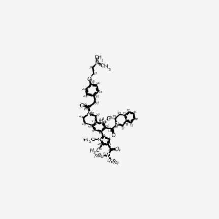 CCCCN(CCCC)C(=O)c1cc(-c2cc3c(cc2C(=O)N2Cc4ccccc4C[C@H]2C)CN(C(=O)Cc2ccc(OCCN(C)C)cc2)CC3)n(C)c1C